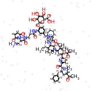 CC[C@H](C)[C@H](NC(=O)[C@H]1CCCC[N+]1(C)Cc1ccc(O[C@@H]2O[C@H](C(=O)O)[C@@H](O)[C@H](O)[C@H]2O)c(NC(=O)CCNC(=O)[C@H](CN)N2C(=O)C=CC2=O)c1)C(=O)N(C)[C@H](C[C@@H](OC(C)=O)c1nc(C(=O)N[C@@H](Cc2ccccc2)C[C@H](C)C(C)=O)cs1)C(C)C